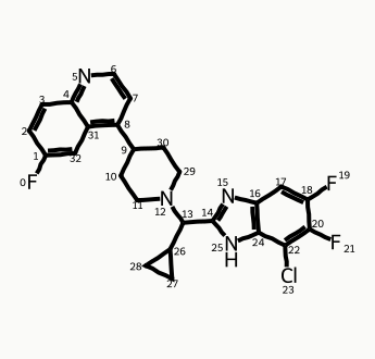 Fc1ccc2nccc(C3CCN(C(c4nc5cc(F)c(F)c(Cl)c5[nH]4)C4CC4)CC3)c2c1